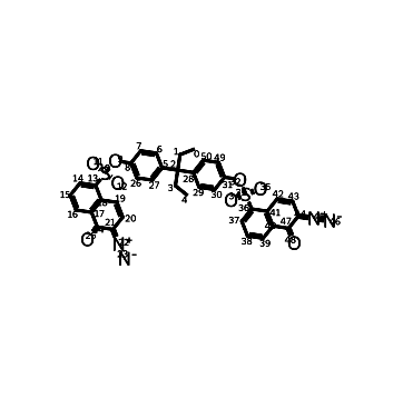 CCC(CC)(c1ccc(OS(=O)(=O)c2cccc3c2C=CC(=[N+]=[N-])C3=O)cc1)c1ccc(OS(=O)(=O)c2cccc3c2C=CC(=[N+]=[N-])C3=O)cc1